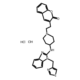 Cl.Cl.O=c1oc2ccccc2cc1CCN1CCC(Nc2nc3ccccc3n2Cc2cscn2)CC1